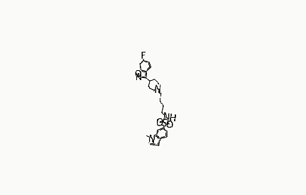 Cn1ccc2ccc(S(=O)(=O)NCCCCN3CCC(c4noc5cc(F)ccc45)CC3)cc21